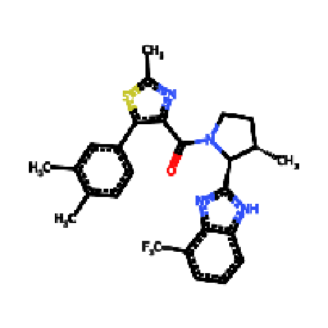 Cc1nc(C(=O)N2CC[C@H](C)[C@H]2c2nc3c(C(F)(F)F)cccc3[nH]2)c(-c2ccc(C)c(C)c2)s1